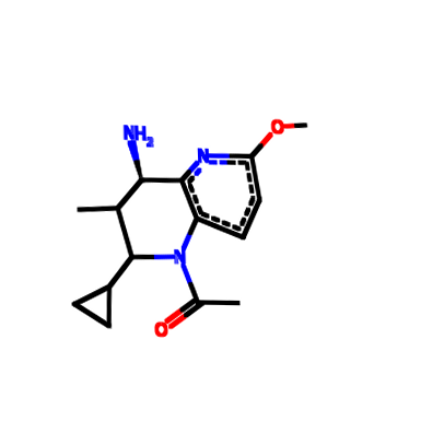 COc1ccc2c(n1)[C@H](N)C(C)C(C1CC1)N2C(C)=O